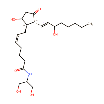 CCCCCC(O)/C=C/[C@H]1C(=O)CC(O)[C@@H]1C/C=C\CCCC(=O)NC(CO)CO